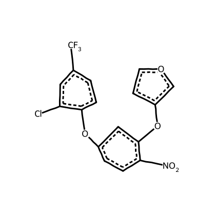 O=[N+]([O-])c1ccc(Oc2ccc(C(F)(F)F)cc2Cl)cc1Oc1ccoc1